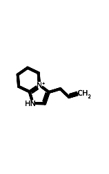 C=CCc1c[nH]c2[n+]1CCCC2